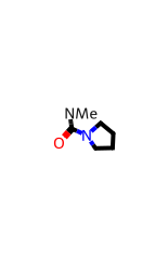 CNC(=O)N1CCCC1